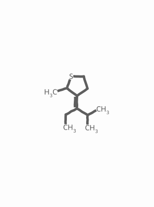 CC/C(=C1/CCSC1C)C(C)C